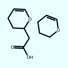 C1=COCCC1.O=C(O)CC1CCC=CO1